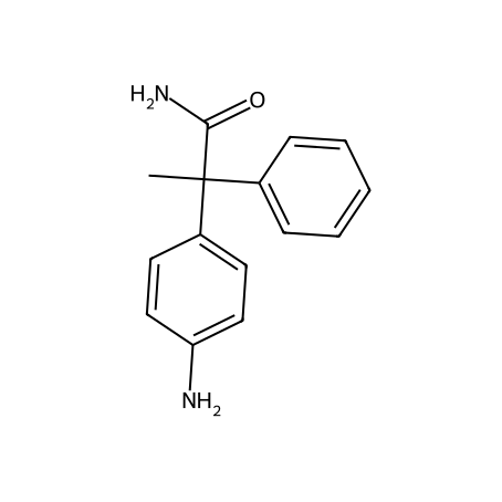 CC(C(N)=O)(c1ccccc1)c1ccc(N)cc1